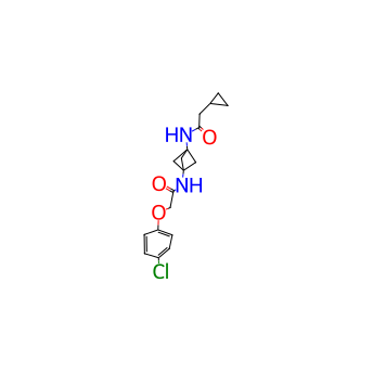 O=C(COc1ccc(Cl)cc1)NC12CC(NC(=O)CC3CC3)(C1)C2